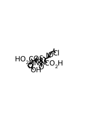 CC(Cl)CO/N=C/C1=C(C(=O)O)N2C(=O)[C@@H](NC(=O)C(C(=O)O)c3cccc(O)c3)[C@H]2SC1